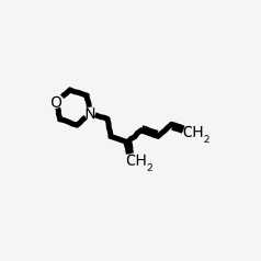 C=CC=CC(=C)CCN1CCOCC1